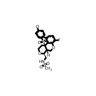 CS(=O)(=O)NC[C@H]1OCC[C@]2(S(=O)(=O)c3ccc(Cl)cc3)c3c(F)ccc(F)c3OC[C@H]12